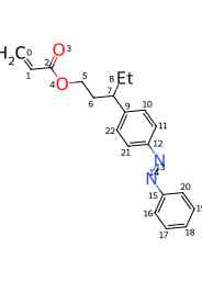 C=CC(=O)OCCC(CC)c1ccc(/N=N/c2ccccc2)cc1